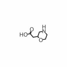 O=C(O)C[C]1CNCCO1